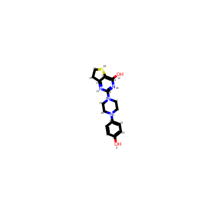 Oc1ccc(N2CCN(c3nc(O)c4c(n3)CCS4)CC2)cc1